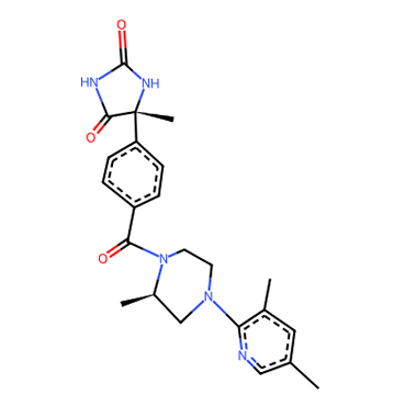 Cc1cnc(N2CCN(C(=O)c3ccc([C@@]4(C)NC(=O)NC4=O)cc3)[C@H](C)C2)c(C)c1